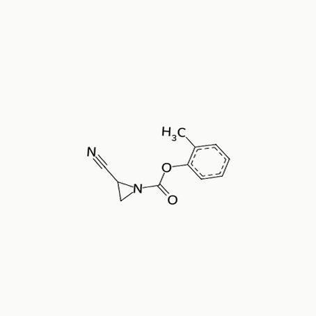 Cc1ccccc1OC(=O)N1CC1C#N